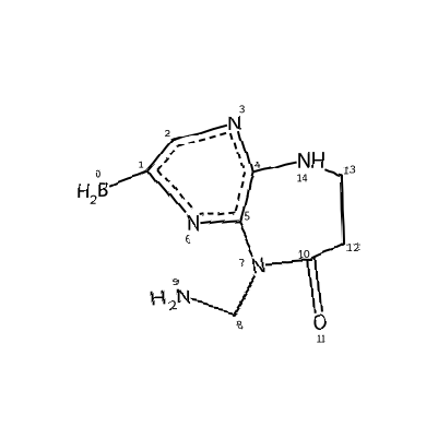 Bc1cnc2c(n1)N(CN)C(=O)CCN2